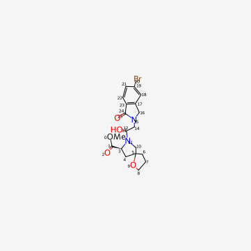 COC(=O)[C@@H]1CC2(CCCO2)CN1C(O)CN1Cc2cc(Br)ccc2C1=O